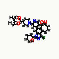 COC(OC)C1CCN(c2ccc(C3(O)CCCCc4c3ccc3c4c(F)nn3C3CCCCO3)cn2)CC1